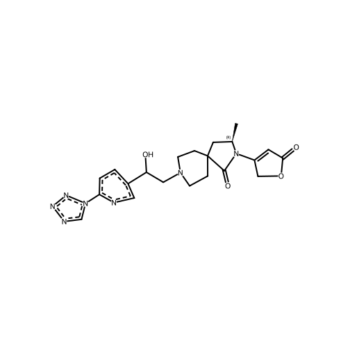 C[C@@H]1CC2(CCN(CC(O)c3ccc(-n4cnnn4)nc3)CC2)C(=O)N1C1=CC(=O)OC1